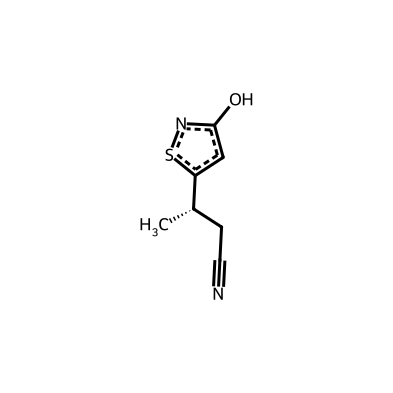 C[C@@H](CC#N)c1cc(O)ns1